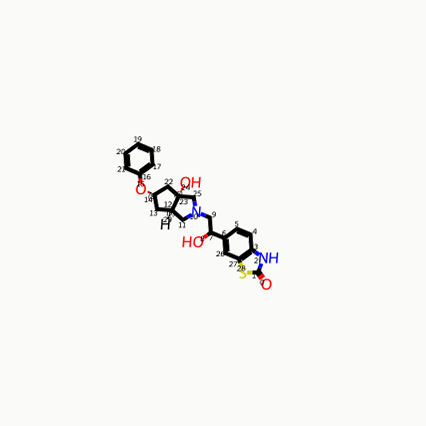 O=c1[nH]c2ccc(C(O)CN3C[C@H]4C[C@H](Oc5ccccc5)C[C@@]4(O)C3)cc2s1